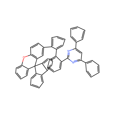 c1ccc(-c2cc(-c3ccccc3)nc(-c3ccccc3-c3ccccc3-c3ccc4c(c3)C3(c5ccccc5O4)c4ccccc4-c4ccccc43)n2)cc1